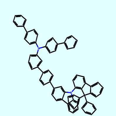 c1ccc(-c2ccc(N(c3ccc(-c4ccccc4)cc3)c3cccc(-c4ccc(-c5ccc6c7ccccc7n(-c7cccc8c7C(c7ccccc7)(c7ccccc7)c7ccccc7-8)c6c5)cc4)c3)cc2)cc1